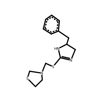 c1ccc(CC2CN=C(SCN3CCSC3)N2)cc1